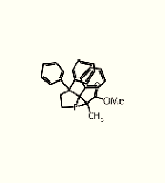 COC(=O)C1(C)P2CCC(c3ccccc3)(c3ccccc3)C21c1ccccc1